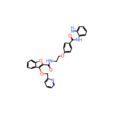 Nc1ccccc1NC(=O)c1ccc(OCCNC(=O)c2oc3ccccc3c2OCc2ccccn2)cc1